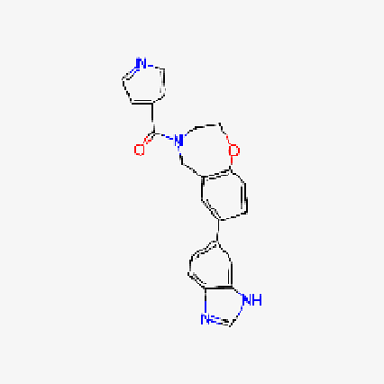 O=C(c1ccncc1)N1CCOc2ccc(-c3ccc4nc[nH]c4c3)cc2C1